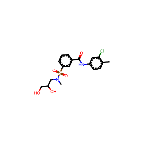 Cc1ccc(NC(=O)c2cccc(S(=O)(=O)N(C)CC(O)CO)c2)cc1Cl